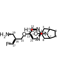 COC1CC2CCC(C1)N2c1ncc(OC/C(=C/F)CN)cn1